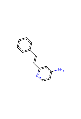 Nc1ccnc(C=Cc2ccccc2)c1